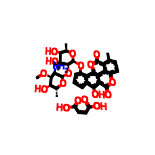 CO[C@@H]1[C@@H](N)[C@@H](O[C@H]2[C@H](Oc3cccc4c(O)c5c(=O)oc6ccc(C)c7c(=O)oc(c34)c5c67)O[C@H](C)[C@H](O)[C@]2(C)O)O[C@H](C)[C@@H]1O.O=C(O)/C=C\C(=O)O